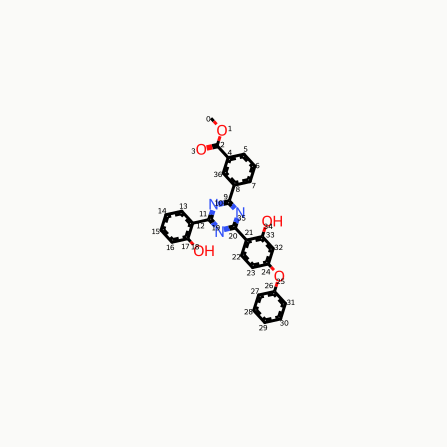 COC(=O)c1cccc(-c2nc(-c3ccccc3O)nc(-c3ccc(Oc4ccccc4)cc3O)n2)c1